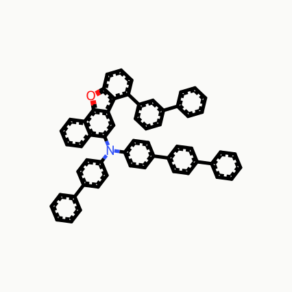 c1ccc(-c2ccc(-c3ccc(N(c4ccc(-c5ccccc5)cc4)c4cc5c(oc6cccc(-c7cccc(-c8ccccc8)c7)c65)c5ccccc45)cc3)cc2)cc1